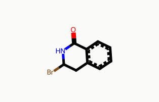 O=C1NC(Br)Cc2ccccc21